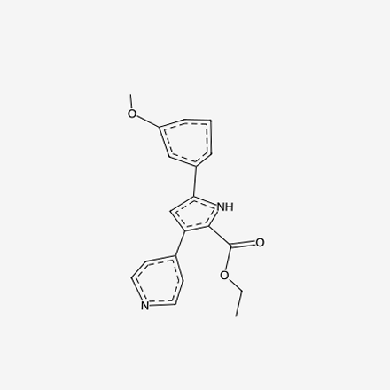 CCOC(=O)c1[nH]c(-c2cccc(OC)c2)cc1-c1ccncc1